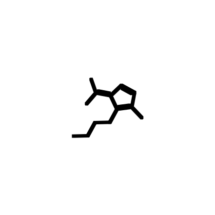 CCCCC1=C(C)C=CC1=C(C)C